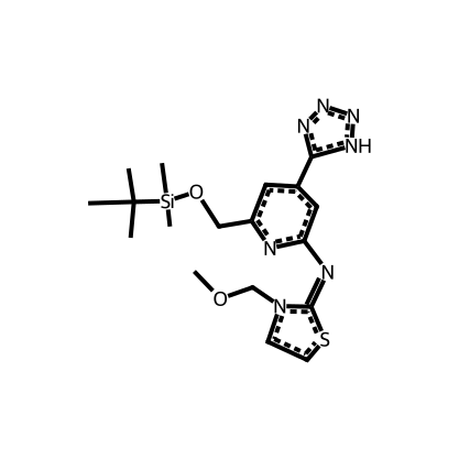 COCn1ccsc1=Nc1cc(-c2nnn[nH]2)cc(CO[Si](C)(C)C(C)(C)C)n1